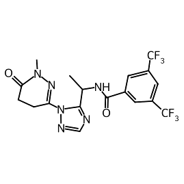 CC(NC(=O)c1cc(C(F)(F)F)cc(C(F)(F)F)c1)c1ncnn1C1=NN(C)C(=O)CC1